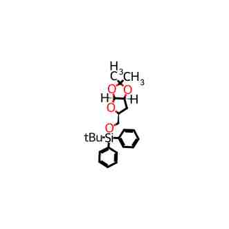 CC1(C)O[C@@H]2O[C@H](CO[Si](c3ccccc3)(c3ccccc3)C(C)(C)C)C[C@@H]2O1